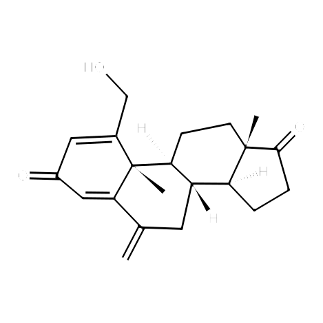 C=C1C[C@@H]2[C@H](CC[C@]3(C)C(=O)CC[C@@H]23)[C@@]2(C)C(CO)=CC(=O)C=C12